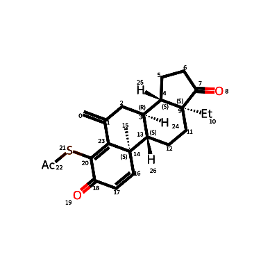 C=C1C[C@H]2[C@@H]3CCC(=O)[C@@]3(CC)CC[C@@H]2[C@@]2(C)C=CC(=O)C(SC(C)=O)=C12